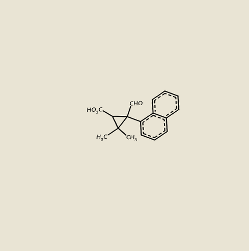 CC1(C)C(C(=O)O)C1(C=O)c1cccc2ccccc12